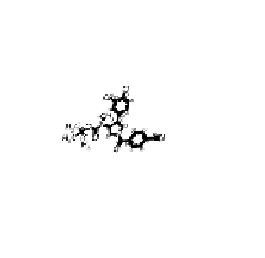 CN(C(=O)OC(C)(C)C)C1CN(C(=O)c2ccc(C#N)cc2)CC1c1ccc(Cl)c(Cl)c1